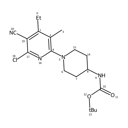 CCc1c(C)c(N2CCC(NC(=O)OC(C)(C)C)CC2)nc(Cl)c1C#N